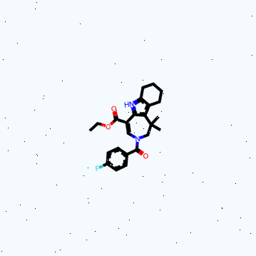 CCOC(=O)C1=CN(C(=O)c2ccc(F)cc2)CC(C)(C)c2c1[nH]c1c2CCCC1